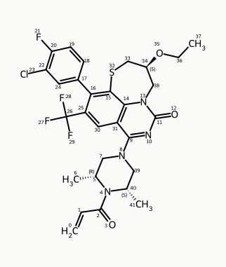 C=CC(=O)N1[C@H](C)CN(c2nc(=O)n3c4c(c(-c5ccc(F)c(Cl)c5)c(C(F)(F)F)cc24)SC[C@@H](OCC)C3)C[C@@H]1C